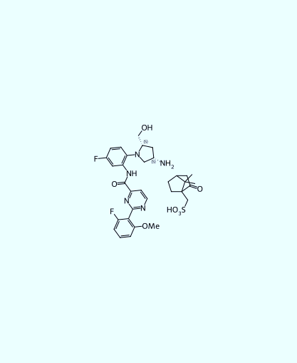 CC1(C)C2CCC1(CS(=O)(=O)O)C(=O)C2.COc1cccc(F)c1-c1nccc(C(=O)Nc2cc(F)ccc2N2C[C@@H](N)C[C@H]2CO)n1